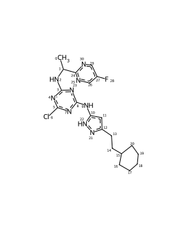 CC(Nc1nc(Cl)nc(Nc2cc(CCC3CCCCC3)n[nH]2)n1)c1ncc(F)cn1